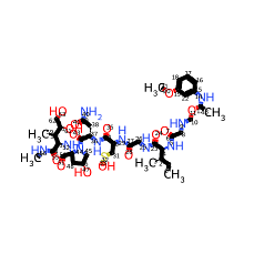 CC[C@H](C)[C@H](NC(=O)CNCOC(C)Nc1cccc(OC)c1)C(=O)NCC(=O)NC(CSO)C(=O)N[C@@H](CC(N)=O)C(=O)N1C[C@H](O)C[C@]1(C=O)N[C@H](C(=O)NC)[C@@H](C)[C@@H](O)CO